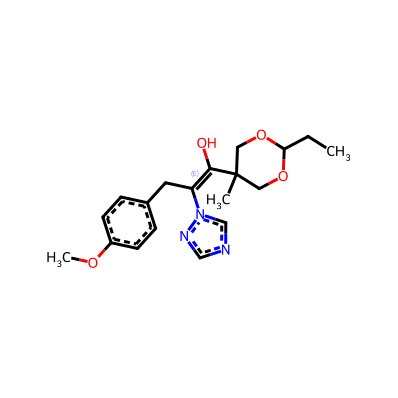 CCC1OCC(C)(/C(O)=C(/Cc2ccc(OC)cc2)n2cncn2)CO1